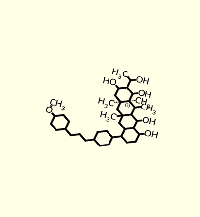 COC1CCC(CCCC2CCC(C3CCC(O)C4C(O)C5C(C)[C@]6(C)C(O)C(C(C)O)C(O)C[C@]6(C)CC5(C)CC34)CC2)CC1